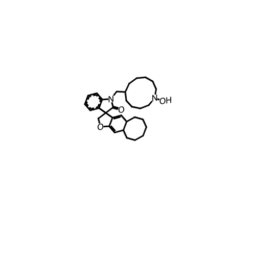 O=C1N(CC2CCCCCN(O)CCCC2)c2ccccc2C12COC1=CC3CCCCCCC3C=C12